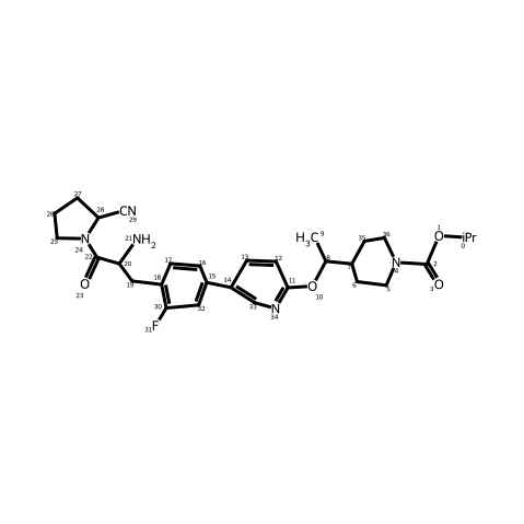 CC(C)OC(=O)N1CCC(C(C)Oc2ccc(-c3ccc(CC(N)C(=O)N4CCCC4C#N)c(F)c3)cn2)CC1